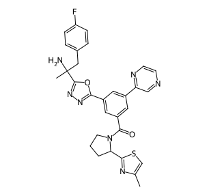 Cc1csc(C2CCCN2C(=O)c2cc(-c3cnccn3)cc(-c3nnc(C(C)(N)Cc4ccc(F)cc4)o3)c2)n1